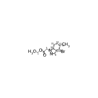 CCOC(=O)Cn1ncc2c(Br)c(C)ccc21